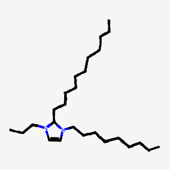 CCCCCCCCCCCC1N(CCC)C=CN1CCCCCCCCC